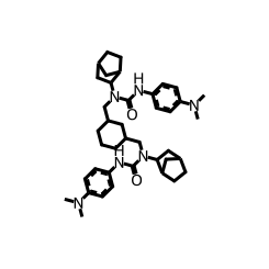 CN(C)c1ccc(NC(=O)N(CC2CCCC(CN(C(=O)Nc3ccc(N(C)C)cc3)C3CC4CCC3C4)C2)C2CC3CCC2C3)cc1